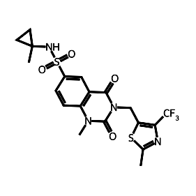 Cc1nc(C(F)(F)F)c(Cn2c(=O)c3cc(S(=O)(=O)NC4(C)CC4)ccc3n(C)c2=O)s1